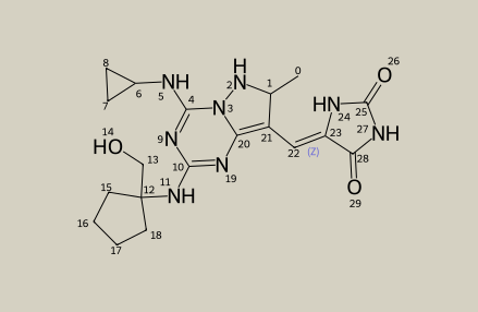 CC1NN2C(NC3CC3)=NC(NC3(CO)CCCC3)=NC2=C1/C=C1\NC(=O)NC1=O